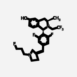 C[C@@H]1Cc2cc(O)ccc2[C@@H](c2c(F)cc(C=C3CCN(CCCF)C3)cc2F)N1CC(F)(F)F